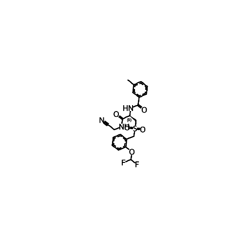 Cc1cccc(C(=O)N[C@@H](CS(=O)(=O)Cc2ccccc2OC(F)F)C(=O)NCC#N)c1